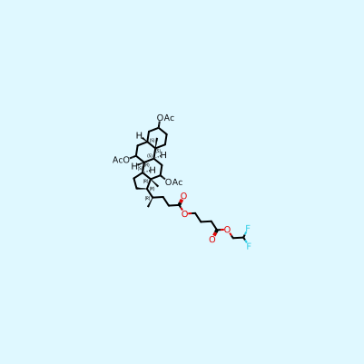 CC(=O)OC1CC[C@@]2(C)[C@@H](C1)CC(OC(C)=O)[C@@H]1[C@@H]2CC(OC(C)=O)[C@]2(C)[C@@H]([C@H](C)CCC(=O)OCCCC(=O)OCC(F)F)CC[C@@H]12